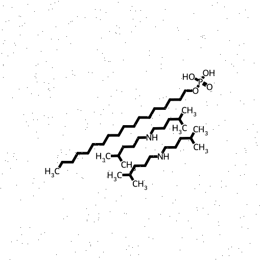 CC(C)CCCNCCCC(C)C.CC(C)CCCNCCCC(C)C.CCCCCCCCCCCCCCCCCCOP(=O)(O)O